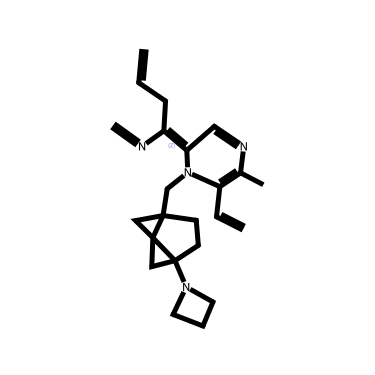 C=CC/C(N=C)=C1\C=NC(C)=C(C=C)N1CC12CCC3(N4CCC4)CC13C2